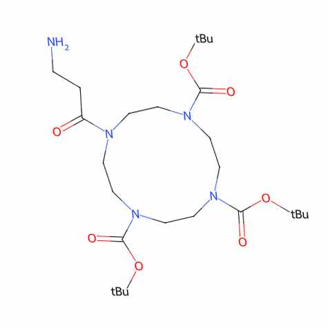 CC(C)(C)OC(=O)N1CCN(C(=O)CCN)CCN(C(=O)OC(C)(C)C)CCN(C(=O)OC(C)(C)C)CC1